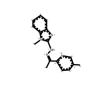 CC(=NNc1nc2ccccc2n1C)c1ccc(C)cn1